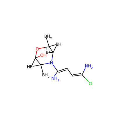 BC12BC1(B)N(/C(N)=C/C=C(\N)Cl)C1(B)BC1(O)O2